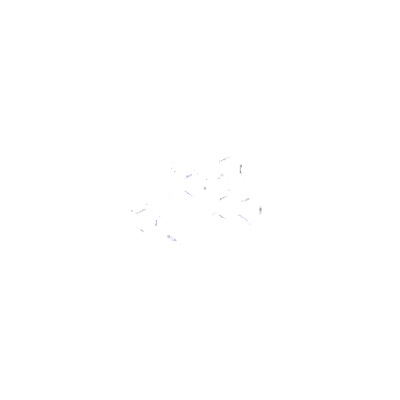 CC(CNc1nc(-c2ccc3ncccc3c2)c(-c2ccccc2)nc1N)c1cccc(C#N)n1